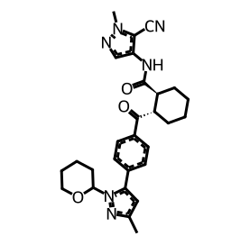 Cc1cc(-c2ccc(C(=O)[C@H]3CCCC[C@@H]3C(=O)Nc3cnn(C)c3C#N)cc2)n(C2CCCCO2)n1